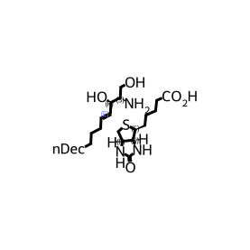 CCCCCCCCCCCCC/C=C/[C@@H](O)[C@@H](N)CO.O=C(O)CCCC[C@@H]1SC[C@@H]2NC(=O)N[C@@H]21